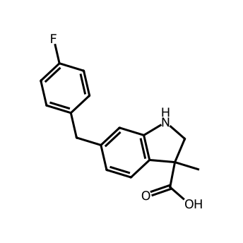 CC1(C(=O)O)CNc2cc(Cc3ccc(F)cc3)ccc21